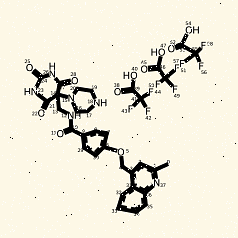 Cc1cc(COc2ccc(C(=O)NCC3(N4CCNCC4)C(=O)NC(=O)NC3=O)cc2)c2ccccc2n1.O=C(O)C(F)(F)F.O=C(O)C(F)(F)F.O=C(O)C(F)(F)F